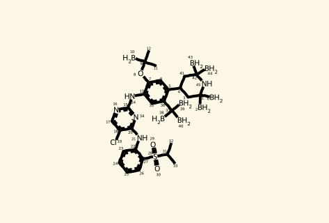 BC1(B)CC(c2cc(OC(B)(C)C)c(Nc3ncc(Cl)c(Nc4ccccc4S(=O)(=O)C(C)C)n3)cc2C(B)(B)B)CC(B)(B)N1